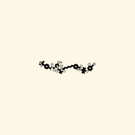 Cc1ncsc1-c1ccc([C@H](C)NC(=O)[C@@H]2C[C@@H](O)CN2C(=O)[C@@H](NC(=O)CCCCCc2ccc(C(=O)NC3C(C)(C)C(Oc4ccc(C#N)c(Cl)c4)C3(C)C)cc2)C(C)(C)C)cc1